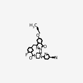 CC#CCOc1ccc2c(=O)[nH]nc(Cc3ccc(F)c(C(=O)N4CCN(c5ccc(C#N)cn5)CC4)c3)c2c1